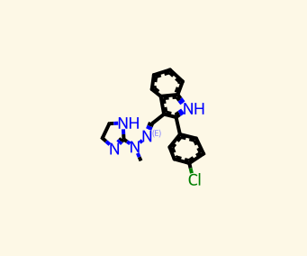 CN(/N=C/c1c(-c2ccc(Cl)cc2)[nH]c2ccccc12)C1=NCCN1